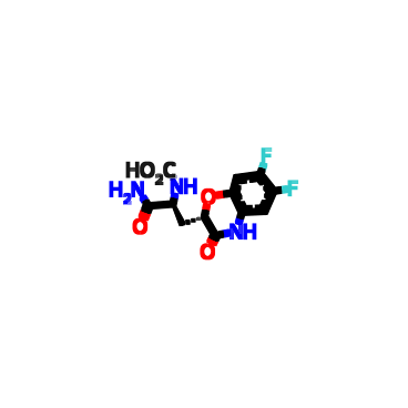 NC(=O)[C@H](C[C@@H]1Oc2cc(F)c(F)cc2NC1=O)NC(=O)O